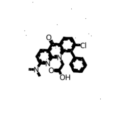 CN(C)c1ccc2c(=O)c3ccc(Cl)c(-c4ccccc4)c3n(CC(=O)O)c2n1